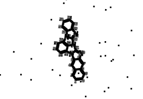 c1ccc2cc3c(cc2c1)nc1n3c2cccc3c2n1c1nc2ccccc2n31